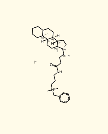 C[C@H](CCC(=O)NCCC[N+](C)(C)Cc1ccccc1)[C@H]1CC[C@H]2[C@@H]3CCC4CCCC[C@]4(C)[C@H]3CC[C@]12C.[I-]